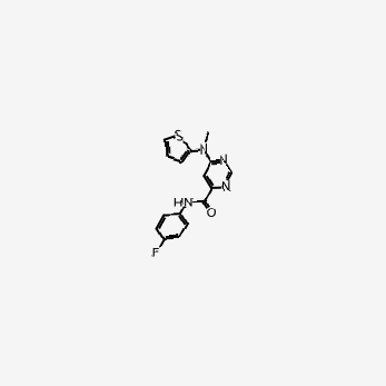 CN(c1cc(C(=O)Nc2ccc(F)cc2)ncn1)c1cccs1